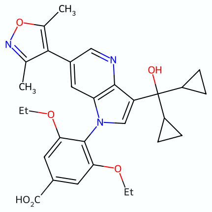 CCOc1cc(C(=O)O)cc(OCC)c1-n1cc(C(O)(C2CC2)C2CC2)c2ncc(-c3c(C)noc3C)cc21